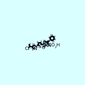 C=C(Cl)c1cnn(-c2ccc(S(=O)(=O)N[C@@]3(C(=O)O)C(C)[C@@H]3c3ccccc3)s2)c1